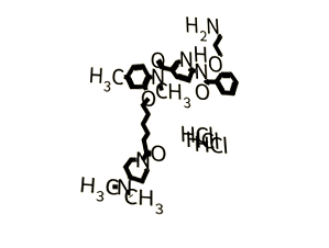 Cc1ccc(N(C)C(=O)c2ccc(NC(=O)c3ccccc3OCCCN)nc2)c(OCCCCCC(=O)N2CCC(N(C)C)CC2)c1.Cl.Cl.Cl